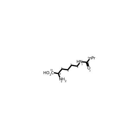 CCCC(=O)NCCCCC(N)C(=O)O